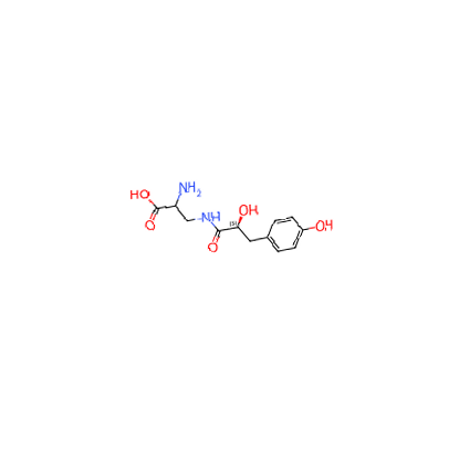 NC(CNC(=O)[C@@H](O)Cc1ccc(O)cc1)C(=O)O